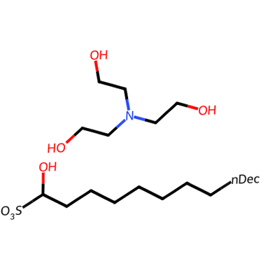 CCCCCCCCCCCCCCCCCC(O)S(=O)(=O)O.OCCN(CCO)CCO